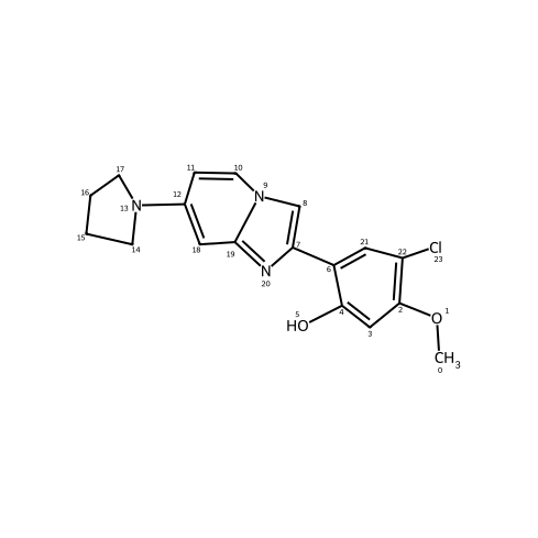 COc1cc(O)c(-c2cn3ccc(N4CCCC4)cc3n2)cc1Cl